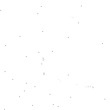 CNC(=O)Cc1csc(NC(=O)Nc2ccc(CC(=O)OC)cc2C(=O)C2CCCC2)n1